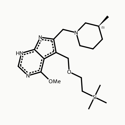 COc1nc[nH]c2nc(CN3CCC[C@H](C)C3)c(COCC[Si](C)(C)C)c1-2